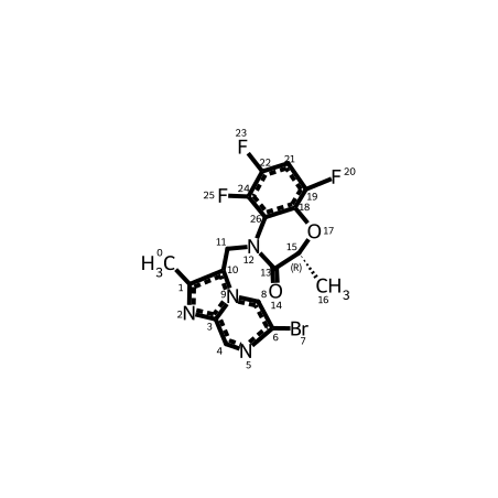 Cc1nc2cnc(Br)cn2c1CN1C(=O)[C@@H](C)Oc2c(F)cc(F)c(F)c21